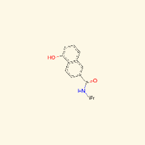 CC(C)NC(=O)c1ccc2c(O)cccc2c1